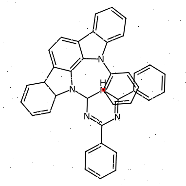 C1=CC2c3ccc4c5ccccc5n(-c5ccccc5)c4c3N(C3N=C(c4ccccc4)N=C(c4ccccc4)N3)C2C=C1